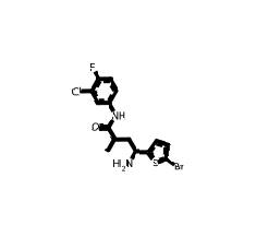 CC(CC(N)c1ccc(Br)s1)C(=O)Nc1ccc(F)c(Cl)c1